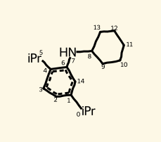 CC(C)c1ccc(C(C)C)c(NC2CCCCC2)c1